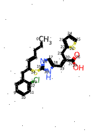 CCCC=CC(Cc1ccccc1Cl)Sc1ncc(/C=C(\Cc2cccs2)C(=O)O)[nH]1